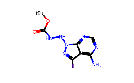 CC(C)(C)OC(=O)NNn1nc(I)c2c(N)ncnc21